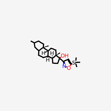 CC1CC[C@@]2(C)C(CC[C@@H]3[C@H]2CC[C@@]2(C)[C@H]3CCC2(O)c2cc([Si](C)(C)C)on2)C1